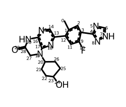 Cc1cc(-c2nc[nH]n2)c(F)cc1-c1cnc2c(n1)N(C1CCC(O)CC1)CC(=O)N2